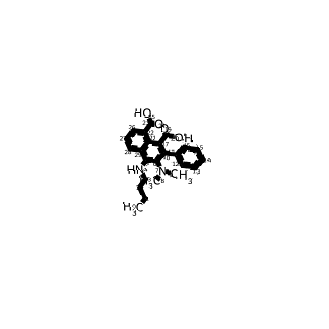 CCCCNc1c(N(C)C)c(-c2ccccc2)c(C(=O)O)c2c(C(=O)O)cccc12